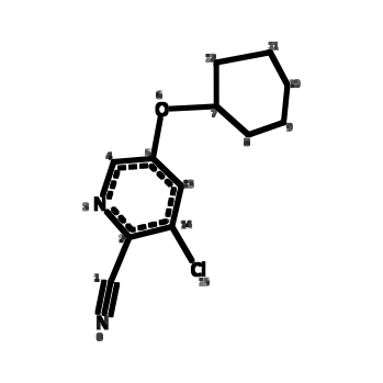 N#Cc1ncc(OC2CCCCC2)cc1Cl